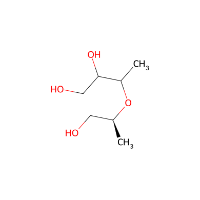 CC(O[C@@H](C)CO)C(O)CO